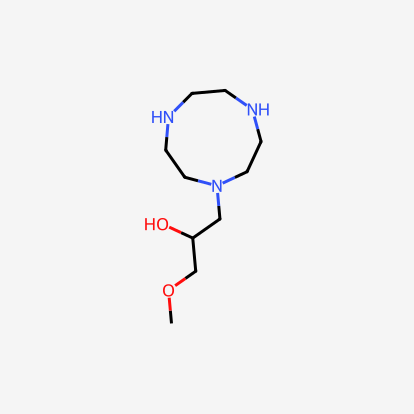 COCC(O)CN1CCNCCNCC1